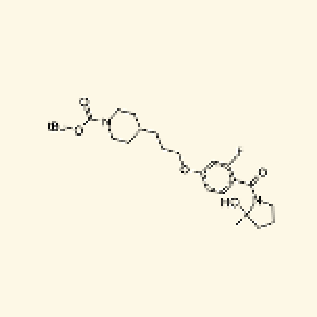 CC(C)(C)OC(=O)N1CCC(CCCOc2ccc(C(=O)N3CCCC3(C)O)c(F)c2)CC1